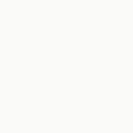 CCN(C(C)=O)c1ccc(OC)cc1